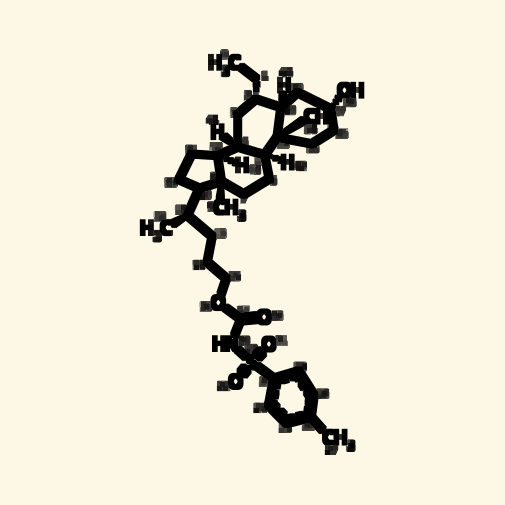 CC[C@H]1C[C@@H]2[C@H](CC[C@]3(C)C([C@H](C)CCCOC(=O)NS(=O)(=O)c4ccc(C)cc4)CC[C@@H]23)[C@@]2(C)CC[C@@H](O)C[C@@H]12